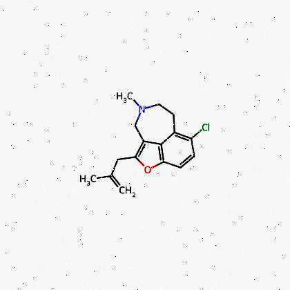 C=C(C)Cc1oc2ccc(Cl)c3c2c1CN(C)CC3